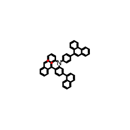 c1ccc(N(c2ccc(-c3cc4ccccc4c4ccccc34)cc2)c2cc(-c3cccc4ccccc34)ccc2-c2cccc3ccccc23)cc1